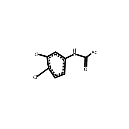 CC(=O)C(=O)Nc1ccc(Cl)c(Cl)c1